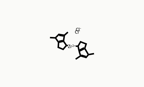 CC1=CC(C)C2=C1[CH]([Zr+2][CH]1CCC3=C1C(C)=CC3C)CC2.[Cl-].[Cl-]